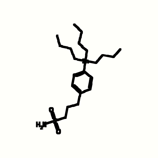 CCC[CH2][Sn]([CH2]CCC)([CH2]CCC)[c]1ccc(CCCS(N)(=O)=O)cc1